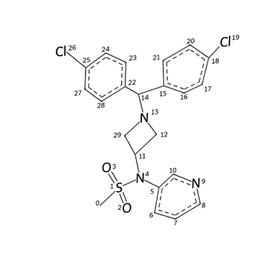 CS(=O)(=O)N(c1cccnc1)C1CN(C(c2ccc(Cl)cc2)c2ccc(Cl)cc2)C1